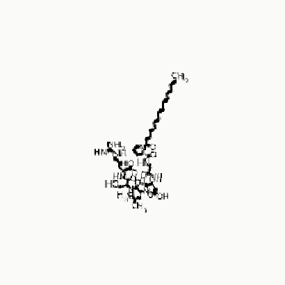 CCCCCCCCCCCCCCCC(=O)N1CCC[C@H]1C(=O)NCC(=O)N[C@@H](CC(=O)O)C(=O)N[C@@H](CC(C)C)C(=O)N[C@@H](CO)C(=O)N[C@@H](CCCNC(=N)N)C(=O)O